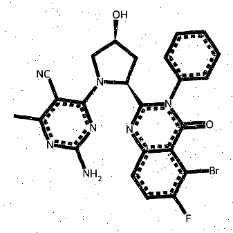 Cc1nc(N)nc(N2C[C@@H](O)C[C@H]2c2nc3ccc(F)c(Br)c3c(=O)n2-c2ccccc2)c1C#N